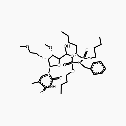 CCCCOP(=O)(OCCCC)N(Cc1ccccc1)P(=O)(OCCCC)OC(O)C1O[C@@H](n2cc(C)c(=O)[nH]c2=O)[C@H](OCCOC)[C@@H]1OC